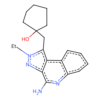 CCn1nc2c(N)nc3ccccc3c2c1CC1(O)CCCCC1